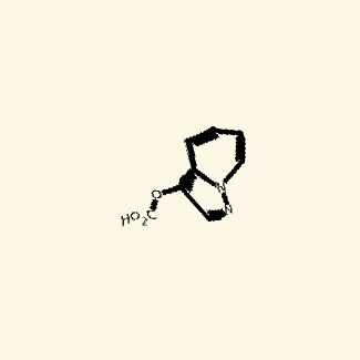 O=C(O)Oc1cnn2ccccc12